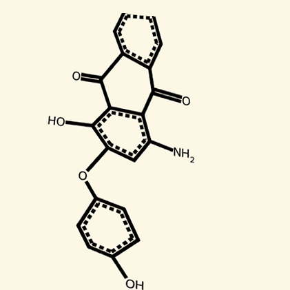 Nc1cc(Oc2ccc(O)cc2)c(O)c2c1C(=O)c1ccccc1C2=O